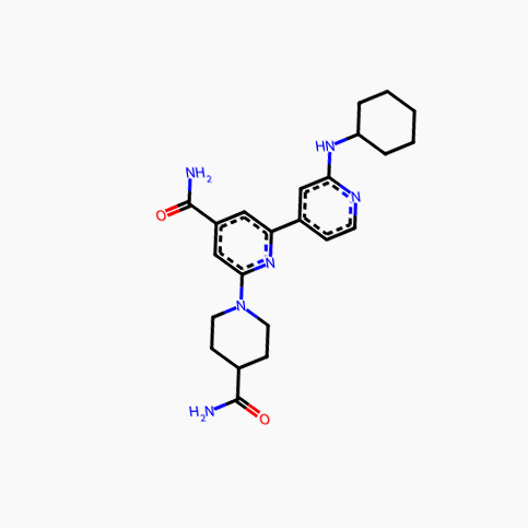 NC(=O)c1cc(-c2ccnc(NC3CCCCC3)c2)nc(N2CCC(C(N)=O)CC2)c1